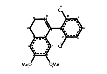 COc1cc2c(cc1OC)C(c1c(Cl)cccc1Cl)=NCC2